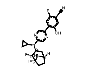 N#Cc1cc(O)c(-c2cnc(N(C3CC3)[C@H]3C[C@@H]4CC[C@@H](N4)[C@H]3F)cn2)cc1F